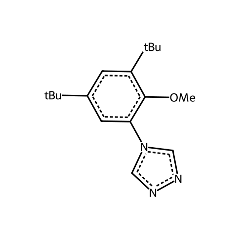 COc1c(-n2cnnc2)cc(C(C)(C)C)cc1C(C)(C)C